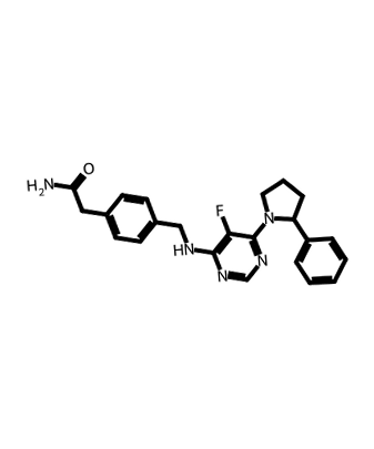 NC(=O)Cc1ccc(CNc2ncnc(N3CCCC3c3ccccc3)c2F)cc1